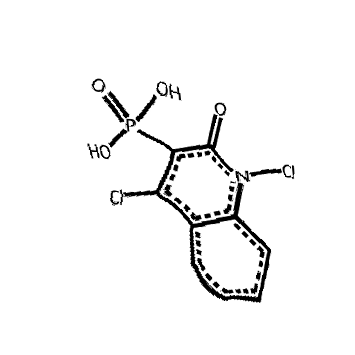 O=c1c(P(=O)(O)O)c(Cl)c2ccccc2n1Cl